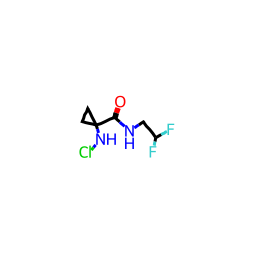 O=C(NCC(F)F)C1(NCl)CC1